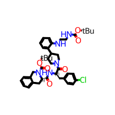 CC(C)(C)OC(=O)NCCNc1ccccc1C1CCN(C(=O)[C@@H](Cc2ccc(Cl)cc2)NC(=O)[C@@H]2Cc3ccccc3CN2C(=O)OC(C)(C)C)CC1